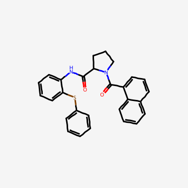 O=C(Nc1ccccc1Sc1ccccc1)C1CCCN1C(=O)c1cccc2ccccc12